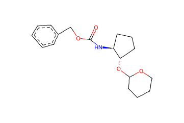 O=C(N[C@H]1CCC[C@@H]1OC1CCCCO1)OCc1ccccc1